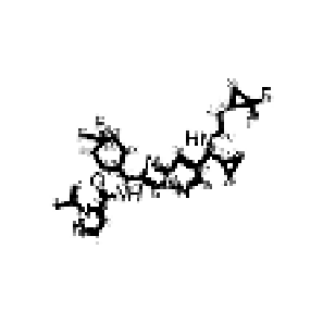 CC(C)n1nccc1C(=O)N[C@H](c1cn2ncc([C@@H](NCC[C@H]3CC3(F)F)C3CC3)cc2n1)C1CCC(F)(F)CC1